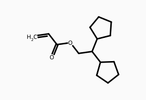 C=CC(=O)OCC(C1CCCC1)C1CCCC1